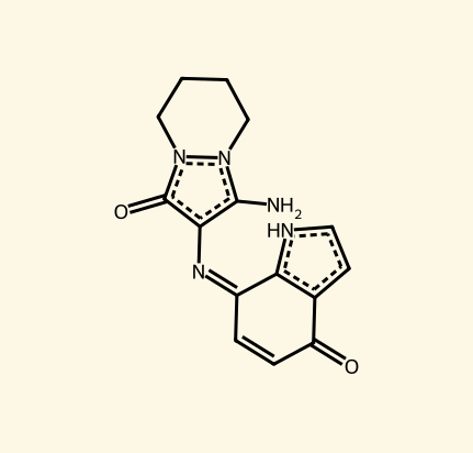 Nc1c(/N=C2/C=CC(=O)c3cc[nH]c32)c(=O)n2n1CCCC2